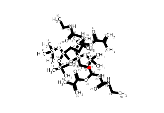 C=C(C)C(=O)OC(CC[Si](O[Si](C)(C)C)(O[Si](C)(C)C)O[Si](CCC(NC(=O)NCC)OC(=O)C(=C)C)(O[Si](C)(C)C)O[Si](C)(C)C)NC(=O)NCC